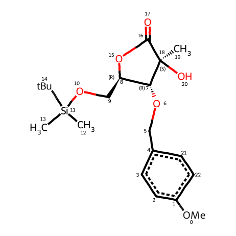 COc1ccc(CO[C@@H]2[C@@H](CO[Si](C)(C)C(C)(C)C)OC(=O)[C@@]2(C)O)cc1